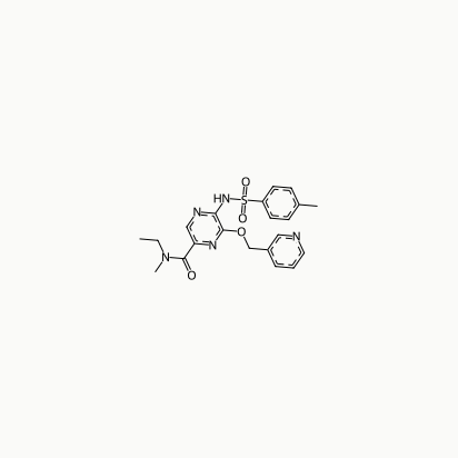 CCN(C)C(=O)c1cnc(NS(=O)(=O)c2ccc(C)cc2)c(OCc2cccnc2)n1